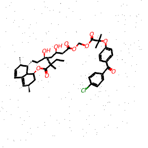 CCC(C)(C)C(=O)O[C@H]1C[C@@H](C)C=C2C=C[C@H](C)[C@H](CC[C@@H](O)C[C@@H](O)CC(=O)OCOC(=O)C(C)(C)Oc3ccc(C(=O)c4ccc(Cl)cc4)cc3)C21